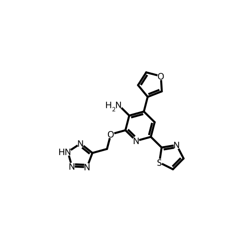 Nc1c(-c2ccoc2)cc(-c2nccs2)nc1OCc1nn[nH]n1